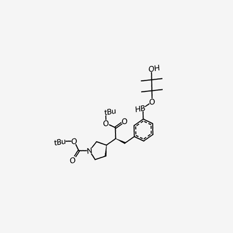 CC(C)(C)OC(=O)[C@@H](Cc1cccc(BOC(C)(C)C(C)(C)O)c1)[C@H]1CCN(C(=O)OC(C)(C)C)C1